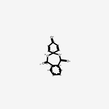 O=C1C=CC2(C=C1)OC(=O)c1ccccc1C(=O)O2